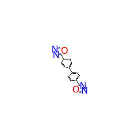 c1nnc(-c2ccc(-c3ccc(-c4nnco4)cc3)cc2)o1